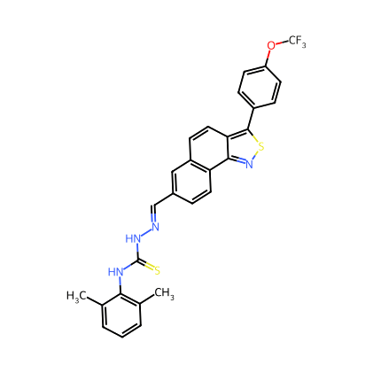 Cc1cccc(C)c1NC(=S)N/N=C/c1ccc2c(ccc3c(-c4ccc(OC(F)(F)F)cc4)snc32)c1